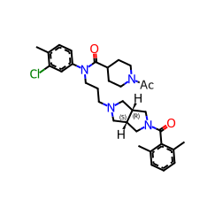 CC(=O)N1CCC(C(=O)N(CCCN2C[C@@H]3CN(C(=O)c4c(C)cccc4C)C[C@@H]3C2)c2ccc(C)c(Cl)c2)CC1